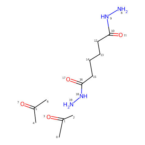 CC(C)=O.CC(C)=O.NNC(=O)CCCCC(=O)NN